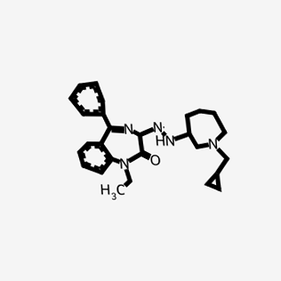 CCN1C(=O)C([N]NC2CCCCN(CC3CC3)C2)N=C(c2ccccc2)c2ccccc21